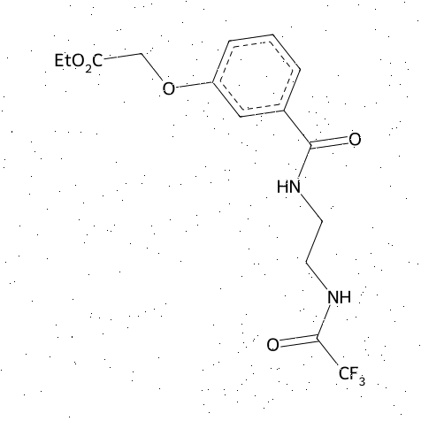 CCOC(=O)COc1cccc(C(=O)NCCNC(=O)C(F)(F)F)c1